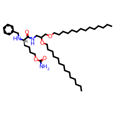 CCCCCCCCCCCCCCOCC(CNC(=O)[C@@H](CCCCOC(N)=O)NCc1ccccc1)OCCCCCCCCCCCCCC